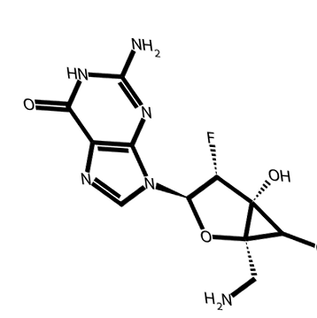 NC[C@]12O[C@@H](n3cnc4c(=O)[nH]c(N)nc43)[C@H](F)[C@@]1(O)C2O